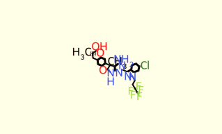 C[C@@H](Cc1ccc(C2(C)C(=O)Nc3nc(-c4nn(CCC(F)(F)C(F)(F)F)c5cc(Cl)ccc45)nc(N)c32)cc1)C(=O)O